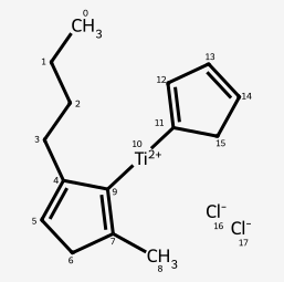 CCCCC1=CCC(C)=[C]1[Ti+2][C]1=CC=CC1.[Cl-].[Cl-]